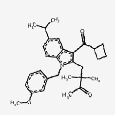 COc1cccc(Cn2c(CC(C)(C)C(C)=O)c(C(=O)C3CCC3)c3cc(C(C)C)ccc32)c1